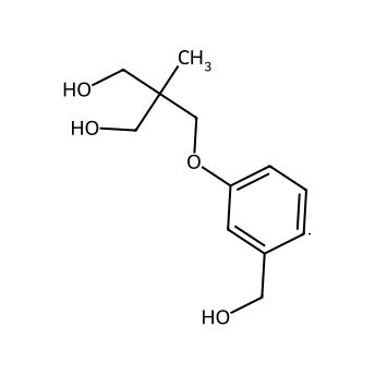 CC(CO)(CO)COc1cc[c]c(CO)c1